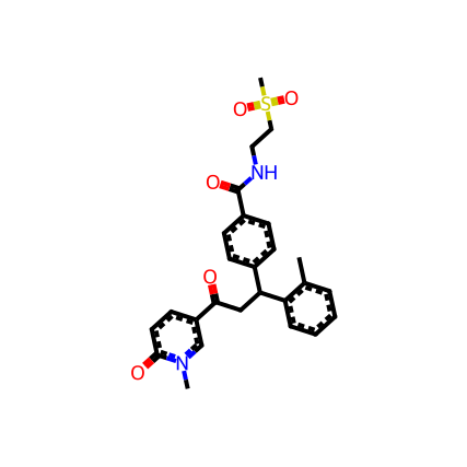 Cc1ccccc1C(CC(=O)c1ccc(=O)n(C)c1)c1ccc(C(=O)NCCS(C)(=O)=O)cc1